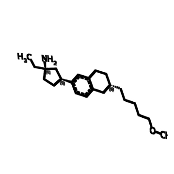 CC[C@@]1(N)CC[C@H](c2ccc3c(c2)CC[C@H](CCCCCOC)C3)C1